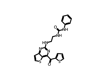 O=C(NCCNc1nc(C(=O)c2cccs2)c2sccc2n1)Nc1ccccc1